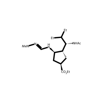 CCOC(=O)[C@@H]1C[C@@H]([C@@H](NC(C)=O)C(CC)CC)[C@H](NC=NNC)C1